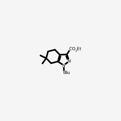 CCOC(=O)c1nn(C(C)(C)C)c2c1CCC(C)(C)C2